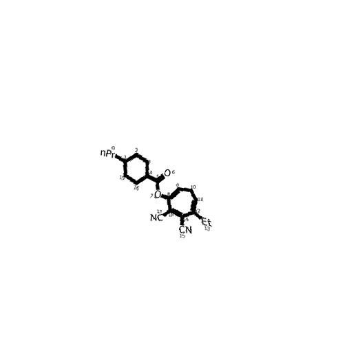 CCCC1CCC(C(=O)OC2=CCC=C(CC)C(C#N)=C2C#N)CC1